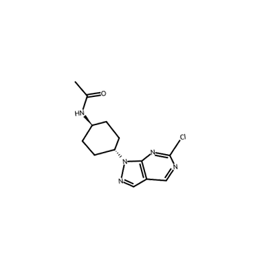 CC(=O)N[C@H]1CC[C@H](n2ncc3cnc(Cl)nc32)CC1